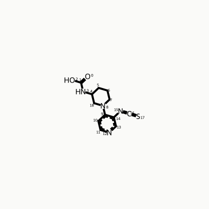 O=C(O)NC1CCCN(c2ccncc2N=C=S)C1